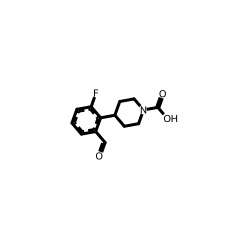 O=Cc1cccc(F)c1C1CCN(C(=O)O)CC1